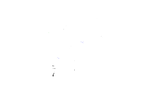 Cc1cccc(C)c1NC(=O)[C@@H]1CCC[C@@H]2CCCN21.Cl